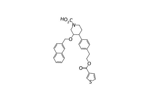 O=C(OCCc1ccc(C2CCN(C(=O)O)CC2OCc2ccc3ccccc3c2)cc1)c1ccsc1